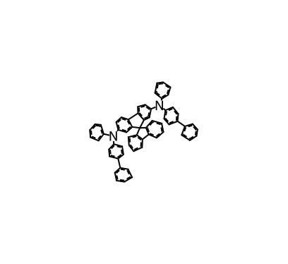 c1ccc(-c2ccc(N(c3ccccc3)c3ccc4c(c3)C3(c5ccccc5-c5ccccc53)c3cc(N(c5ccccc5)c5ccc(-c6ccccc6)cc5)ccc3-4)cc2)cc1